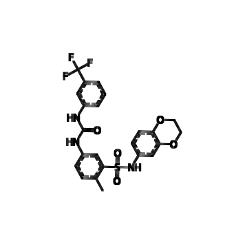 Cc1ccc(NC(=O)Nc2cccc(C(F)(F)F)c2)cc1S(=O)(=O)Nc1ccc2c(c1)OCCO2